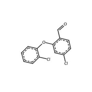 O=Cc1ccc(Cl)cc1Oc1ccccc1Cl